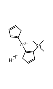 [CH3][Sn]([CH3])([CH3])[C]1=[C]([Zr+2][C]2=CC=CC2)CC=C1.[H-].[H-]